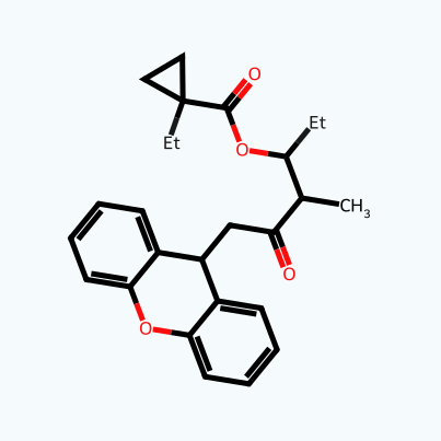 CCC(OC(=O)C1(CC)CC1)C(C)C(=O)CC1c2ccccc2Oc2ccccc21